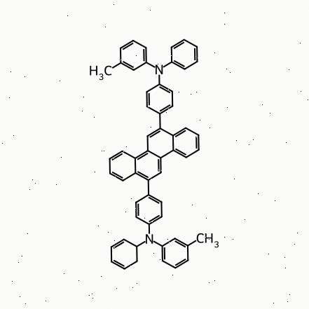 Cc1cccc(N(c2ccccc2)c2ccc(-c3cc4c5ccccc5c(-c5ccc(N(c6cccc(C)c6)C6C=CC=CC6)cc5)cc4c4ccccc34)cc2)c1